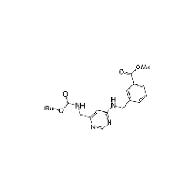 COC(=O)c1cccc(CNc2cc(CNC(=O)OC(C)(C)C)ncn2)c1